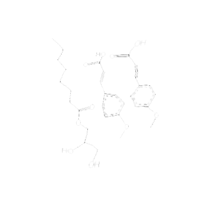 CCCCCCCC(=O)OCC(O)CO.COc1ccc(C=CC(=O)O)cc1.COc1ccc(C=CC(=O)O)cc1